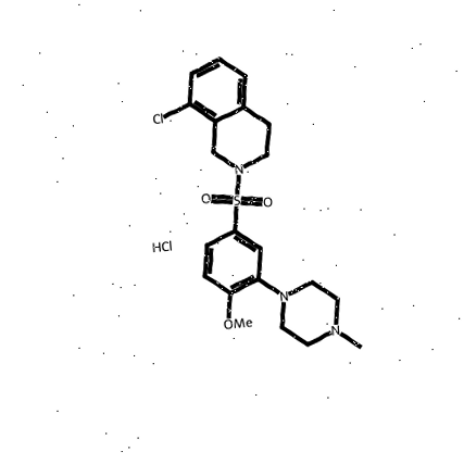 COc1ccc(S(=O)(=O)N2CCc3cccc(Cl)c3C2)cc1N1CCN(C)CC1.Cl